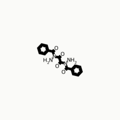 NN(C(=O)C(=O)N(N)C(=O)c1ccccc1)C(=O)c1ccccc1